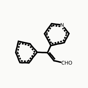 O=C/C=C(/c1ccccc1)c1ccncc1